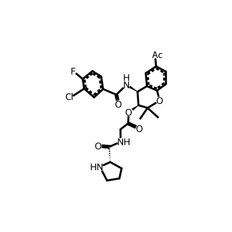 CC(=O)c1ccc2c(c1)[C@H](NC(=O)c1ccc(F)c(Cl)c1)[C@H](OC(=O)CNC(=O)[C@@H]1CCCN1)C(C)(C)O2